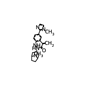 C=C(C(=O)NC1CC2CCC(C1)N2C)c1cc(-c2nccn2C)ccc1N